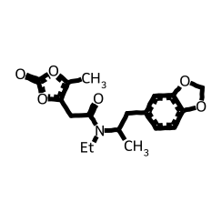 CCN(C(=O)Cc1oc(=O)oc1C)C(C)Cc1ccc2c(c1)OCO2